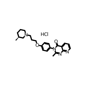 Cc1nc2ncccc2c(=O)n1-c1ccc(OCCCN2CCC[C@H](C)C2)cc1.Cl